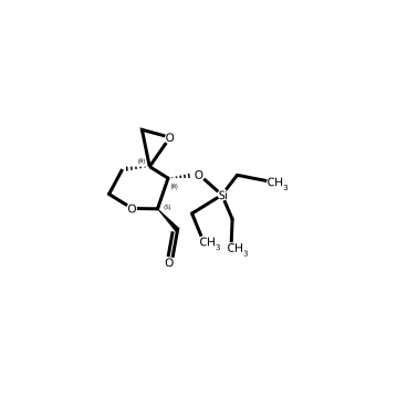 CC[Si](CC)(CC)O[C@@H]1[C@@H](C=O)OCC[C@@]12CO2